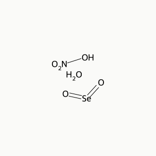 O.O=[N+]([O-])O.O=[Se]=O